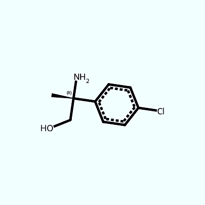 C[C@](N)(CO)c1ccc(Cl)cc1